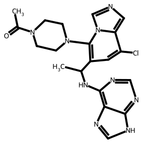 CC(=O)N1CCN(c2c(C(C)Nc3ncnc4[nH]cnc34)cc(Cl)c3cncn23)CC1